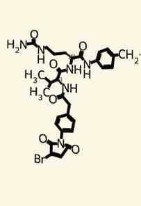 [CH2]c1ccc(NC(=O)[C@H](CCCNC(N)=O)NC(=O)[C@@H](NC(=O)Cc2ccc(N3C(=O)C=C(Br)C3=O)cc2)C(C)C)cc1